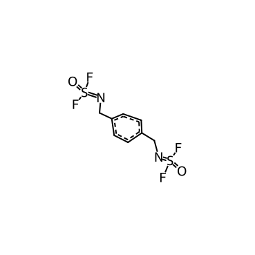 O=S(F)(F)=NCc1ccc(CN=S(=O)(F)F)cc1